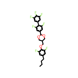 CCCCc1cc(F)c(OCC2COC(c3cc(F)c(-c4cc(F)c(F)c(F)c4)c(F)c3)OC2)c(F)c1